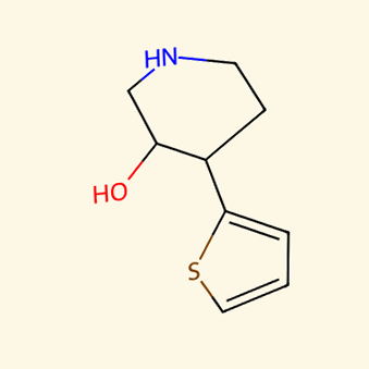 OC1CNCCC1c1cccs1